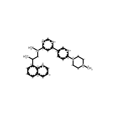 CC(CN(N)c1cc(-c2ccc(N3CCN(C)CC3)nc2)ncn1)c1cccc2cccnc12